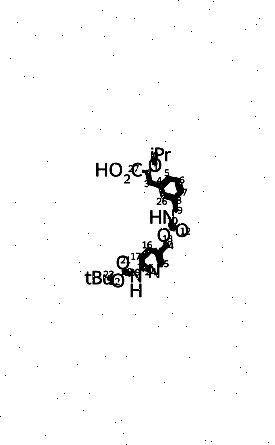 CC(C)O[C@@H](Cc1cccc(CNC(=O)OCc2ccc(NC(=O)OC(C)(C)C)nc2)c1)C(=O)O